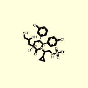 CC[C@]1(CC(O)CO)C[C@H](c2cccc(Cl)c2)[C@@H](c2ccc(Cl)cc2)N(C(CNS(=O)(=O)CC)C2CC2)C1=O